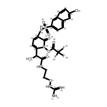 CC(C(=O)NCCONC(=N)N)c1ccc(NS(=O)(=O)c2ccc3cc(Cl)ccc3c2)c(=O)n1OC(=O)C(F)(F)F